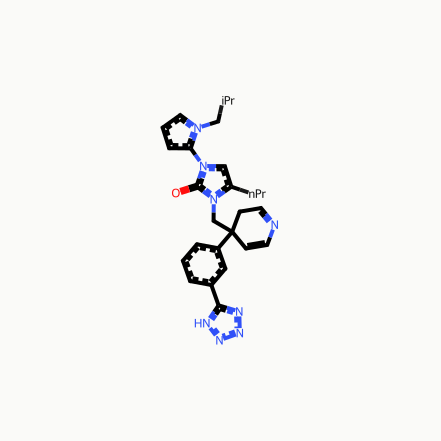 CCCc1cn(-c2cccn2CC(C)C)c(=O)n1CC1(c2cccc(-c3nnn[nH]3)c2)C=CN=CC1